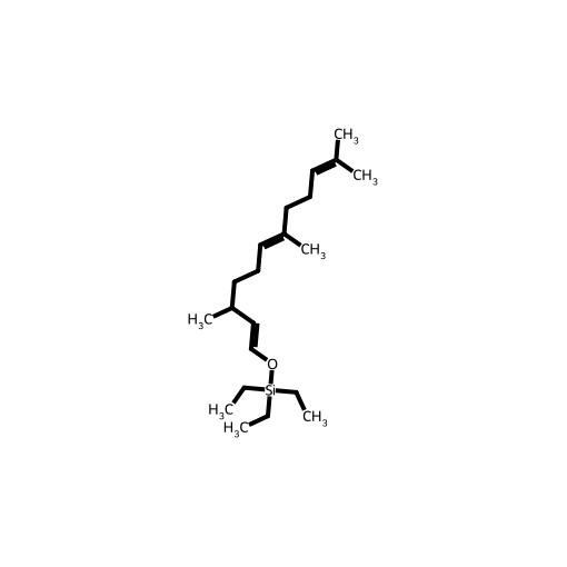 CC[Si](CC)(CC)OC=CC(C)CC/C=C(\C)CCC=C(C)C